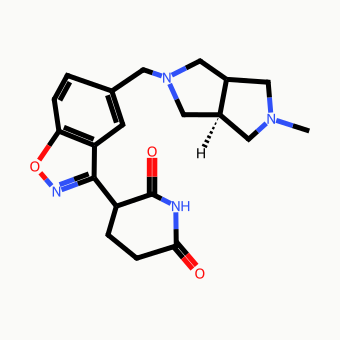 CN1CC2CN(Cc3ccc4onc(C5CCC(=O)NC5=O)c4c3)C[C@@H]2C1